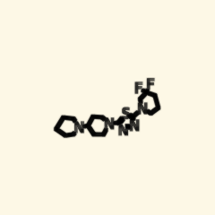 FC1(F)CCCN(c2nnc(N3CCC(N4CCCCC4)CC3)s2)C1